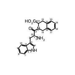 N[C@@H](Cc1c[nH]c2ccccc12)C(=O)N1Cc2ccccc2CC1C(=O)O